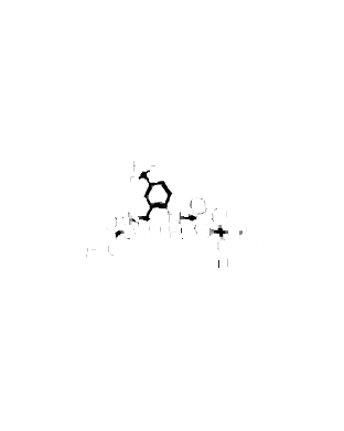 CC(=O)ONC(=O)c1cc(C(F)(F)F)ccc1NC(=O)OC(C)(C)C